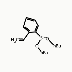 C=Cc1ccccc1[SiH](OCCCC)OCCCC